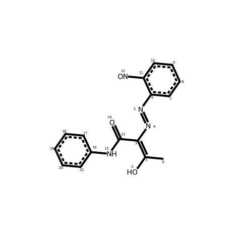 C/C(O)=C(\N=N\c1ccccc1N=O)C(=O)Nc1ccccc1